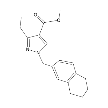 CCc1nn(Cc2ccc3c(c2)CCCC3)cc1C(=O)OC